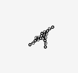 O=S(=O)(Oc1cccc2c(OS(=O)(=O)c3ccc(OCc4ccccc4)cc3)c3c(OS(=O)(=O)c4ccc(OCc5ccccc5)cc4)cccc3cc12)c1ccc(OCc2ccccc2)cc1